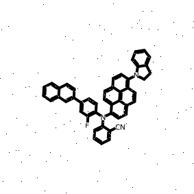 N#Cc1ccccc1N(c1ccc(-c2ccc3ccccc3c2)cc1F)c1ccc2ccc3c(N4CCc5ccccc54)ccc4ccc1c2c43